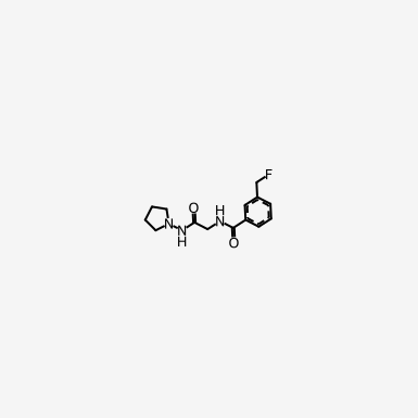 O=C(CNC(=O)c1cccc(CF)c1)NN1CCCC1